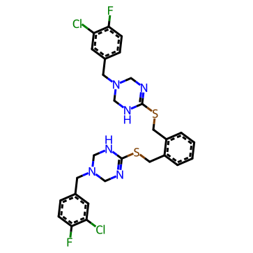 Fc1ccc(CN2CN=C(SCc3ccccc3CSC3=NCN(Cc4ccc(F)c(Cl)c4)CN3)NC2)cc1Cl